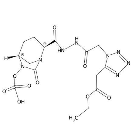 CCOC(=O)Cc1nnnn1CC(=O)NNC(=O)[C@@H]1CC[C@@H]2CN1C(=O)N2OS(=O)(=O)O